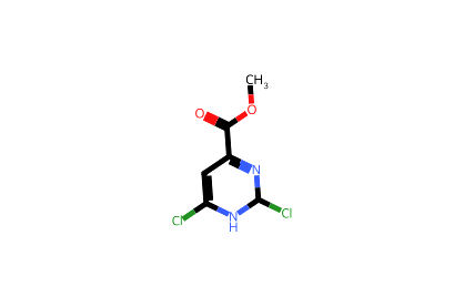 COC(=O)C1=NC(Cl)NC(Cl)=C1